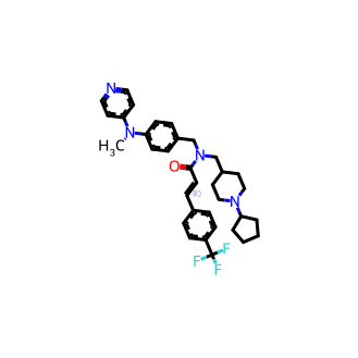 CN(c1ccncc1)c1ccc(CN(CC2CCN(C3CCCC3)CC2)C(=O)/C=C/c2ccc(C(F)(F)F)cc2)cc1